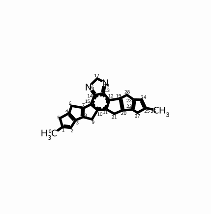 CC1=CC2=C(C1)CC1=C2Cc2c3c(c4c(c21)=NCN=4)C1=C(C3)C2=C(C=C(C)C2)C1